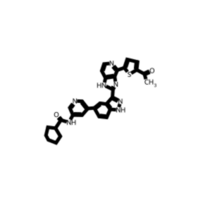 CC(=O)c1ccc(-c2nccc3[nH]c(-c4n[nH]c5ccc(-c6cncc(NC(=O)C7CCCCC7)c6)cc45)nc23)s1